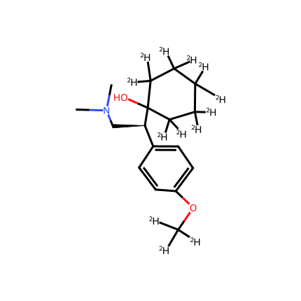 [2H]C([2H])([2H])Oc1ccc([C@@H](CN(C)C)C2(O)C([2H])([2H])C([2H])([2H])C([2H])([2H])C([2H])([2H])C2([2H])[2H])cc1